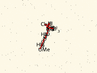 COCCCCCC(=O)NCCCOCCCCOCCOCCCNC(=O)CCCCCOc1cc(NC2CCN(S(=O)(=O)C(F)(F)F)CC2)c2cc(C(c3ccc(Cl)cc3)c3ccc(Cl)cc3)ccc2n1